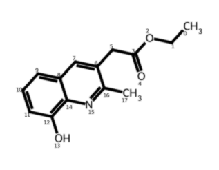 CCOC(=O)Cc1cc2cccc(O)c2nc1C